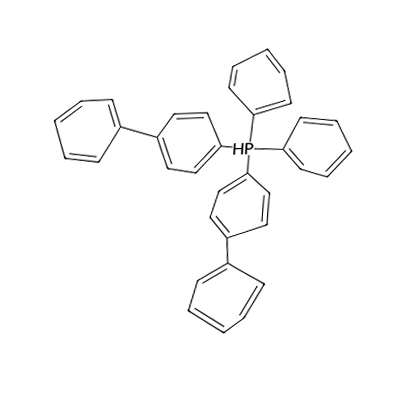 c1ccc(-c2ccc([PH](c3ccccc3)(c3ccccc3)c3ccc(-c4ccccc4)cc3)cc2)cc1